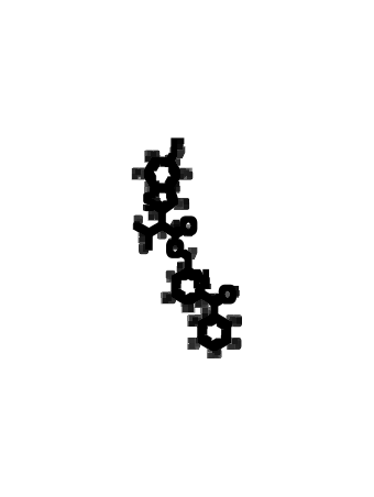 CC(C)C(C(=O)OCc1cccc(C(=O)c2ccccc2)n1)c1cc2cc(F)ccc2s1